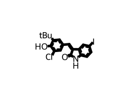 CC(C)(C)c1cc(C=C2C(=O)Nc3ccc(I)cc32)cc(Cl)c1O